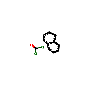 O=C(Cl)Cl.c1ccc2ccccc2c1